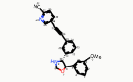 COc1cccc([C@H]2OCN[C@@H]2c2cccc(C#Cc3ccc(C#N)nc3)c2)c1